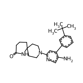 CC(C)(C)c1cccc(-c2cc(N3CCC4(CCCC(=O)N4)CC3)ncc2N)c1